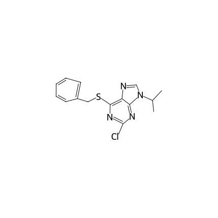 CC(C)n1cnc2c(SCc3ccccc3)nc(Cl)nc21